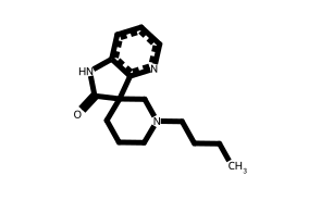 CCCCN1CCCC2(C1)C(=O)Nc1cccnc12